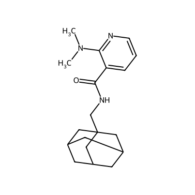 CN(C)c1ncccc1C(=O)NCC12CC3CC(CC(C3)C1)C2